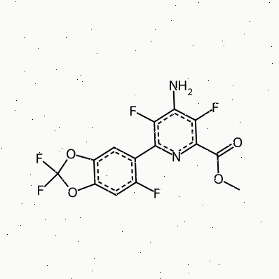 COC(=O)c1nc(-c2cc3c(cc2F)OC(F)(F)O3)c(F)c(N)c1F